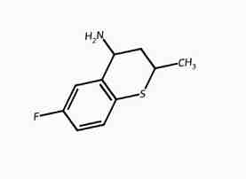 CC1CC(N)c2cc(F)ccc2S1